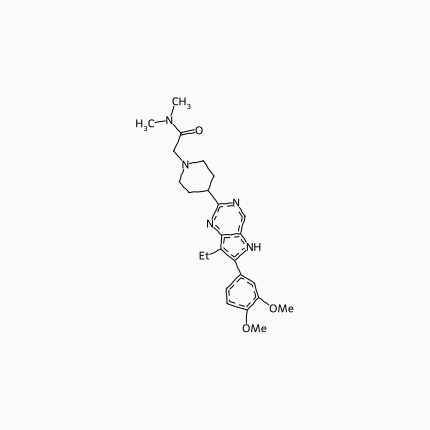 CCc1c(-c2ccc(OC)c(OC)c2)[nH]c2cnc(C3CCN(CC(=O)N(C)C)CC3)nc12